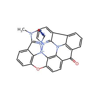 Cn1c2[n+](c3ncncc31)[N+]13c4c(cccc4-2)Oc2ccc4c(=O)c5cccc6c7ccc[n+]1c7n(c4c23)c56